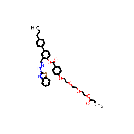 C=CC(=O)OCCOCCOCCOc1ccc(C(=O)Oc2ccc(-c3ccc(CCC)cc3)cc2/C=N/Nc2nc3ccccc3s2)cc1